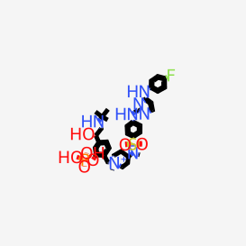 CN(C1CC[N+](C)(Cc2ccc(C(O)CNC(C)(C)C)cc2OP(=O)(O)O)CC1)S(=O)(=O)c1ccc(Nc2nccc(Nc3ccc(F)cc3)n2)cc1